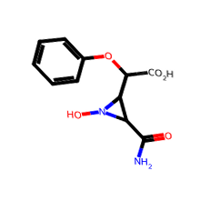 NC(=O)C1C(C(Oc2ccccc2)C(=O)O)N1O